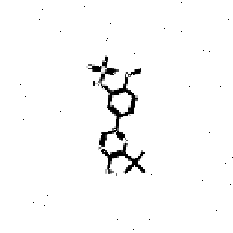 COc1ccc(-c2cnc(N)c(C(C)(C)C)n2)cc1NS(C)(=O)=O